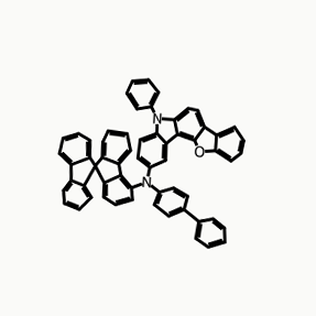 c1ccc(-c2ccc(N(c3ccc4c(c3)c3c5oc6ccccc6c5ccc3n4-c3ccccc3)c3cccc4c3-c3ccccc3C43c4ccccc4-c4ccccc43)cc2)cc1